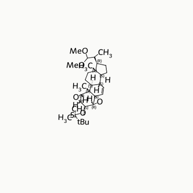 COC(OC)C(C)[C@H]1CC[C@H]2[C@@H]3C=C[C@@]45O[C@@H]4[C@@H](O[Si](C)(C)C(C)(C)C)[C@@H]4O[C@@H]4[C@]5(C)[C@H]3CC[C@]12C